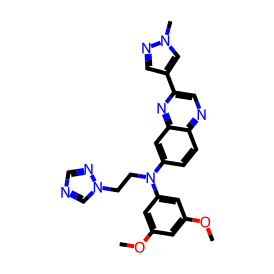 COc1cc(OC)cc(N(CCn2cncn2)c2ccc3ncc(-c4cnn(C)c4)nc3c2)c1